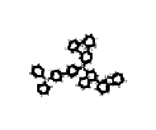 c1ccc(N(c2ccccc2)c2ccc(-c3ccc(N(c4ccc5c6ccccc6c6ccccc6c5c4)c4ccc(-c5cccc6c5oc5ccccc56)c5ccccc45)cc3)cc2)cc1